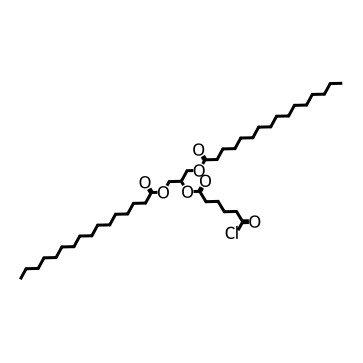 CCCCCCCCCCCCCCCC(=O)OCC(COC(=O)CCCCCCCCCCCCCCC)OC(=O)CCCCC(=O)Cl